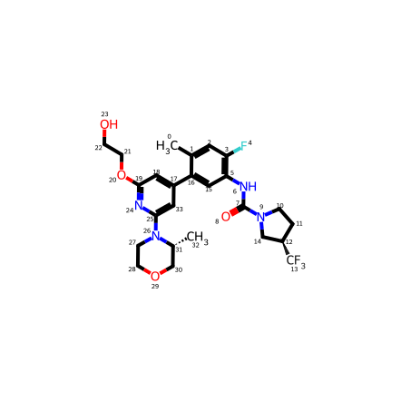 Cc1cc(F)c(NC(=O)N2CC[C@@H](C(F)(F)F)C2)cc1-c1cc(OCCO)nc(N2CCOC[C@H]2C)c1